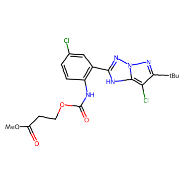 COC(=O)CCOC(=O)Nc1ccc(Cl)cc1-c1nn2nc(C(C)(C)C)c(Cl)c2[nH]1